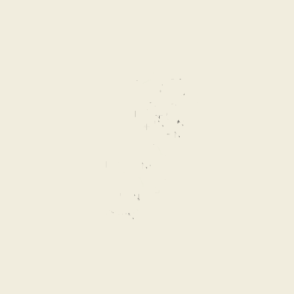 COc1nc(/C=C/c2nc3n(n2)CCC[C@H]3c2c(F)cccc2C(F)(F)F)ccc1-n1cnc(C)c1